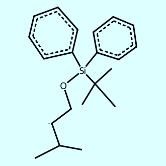 CC(C)[CH]CO[Si](c1ccccc1)(c1ccccc1)C(C)(C)C